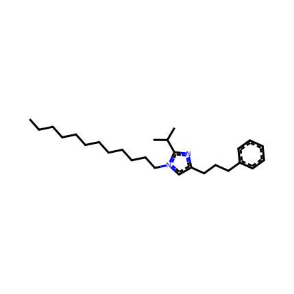 CCCCCCCCCCCCn1cc(CCCc2ccccc2)nc1C(C)C